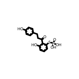 O=C(CCc1ccc(O)cc1)c1c(O)cccc1SP(=O)(O)O